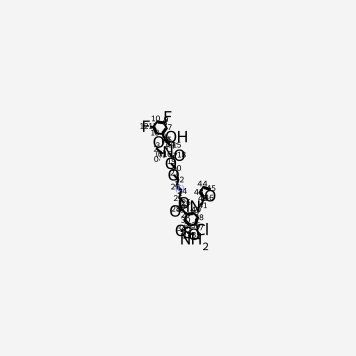 C[C@@H]1CO[C@@](O)(c2cc(F)cc(F)c2)[C@H](C)N1C(=O)OCOC/C=C/COC(=O)c1cc(S(N)(=O)=O)c(Cl)cc1NCc1ccco1